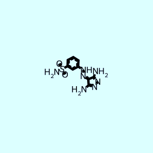 NC1=NN=C(N)C1=NNc1cccc(S(N)(=O)=O)c1